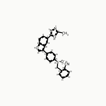 Cc1nnc(-c2ccc3occ(-c4ccc([S+]([O-])Cc5ccccc5C#N)cc4)c3c2)o1